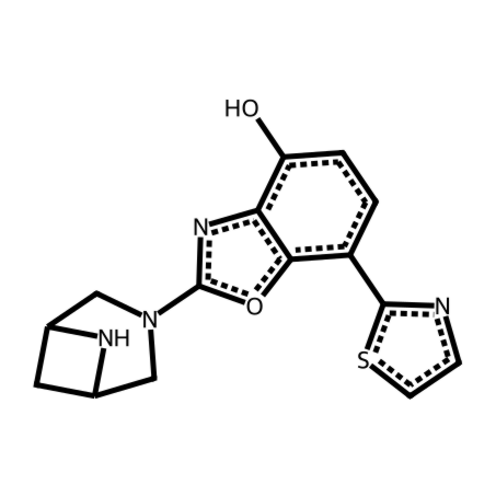 Oc1ccc(-c2nccs2)c2oc(N3CC4CC(C3)N4)nc12